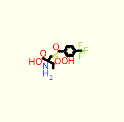 CC(=O)C(N)(CSC(=O)c1ccc(C(F)(F)F)cc1O)C(=O)O